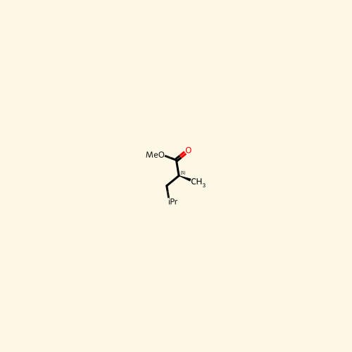 COC(=O)[C@@H](C)CC(C)C